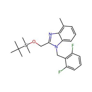 Cc1cccc2c1nc(CO[Si](C)(C)C(C)(C)C)n2Cc1c(F)cccc1F